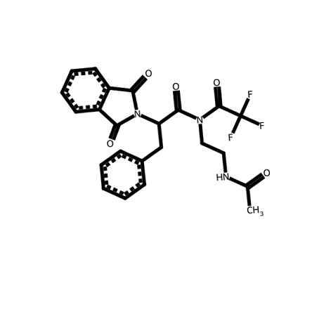 CC(=O)NCCN(C(=O)C(Cc1ccccc1)N1C(=O)c2ccccc2C1=O)C(=O)C(F)(F)F